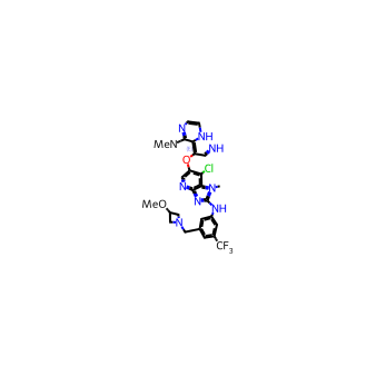 CNC1=NC=CN/C1=C(\C=N)Oc1cnc2nc(Nc3cc(CN4CC(OC)C4)cc(C(F)(F)F)c3)n(C)c2c1Cl